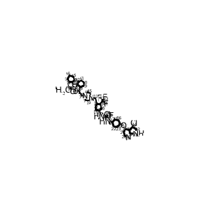 CC(C)(C)[Si](OCCN1CCN(Cc2ccc(NC(=O)Nc3ccc(Oc4ccnc5[nH]cc(Cl)c45)cc3F)cc2C(F)(F)F)CC1)(c1ccccc1)c1ccccc1